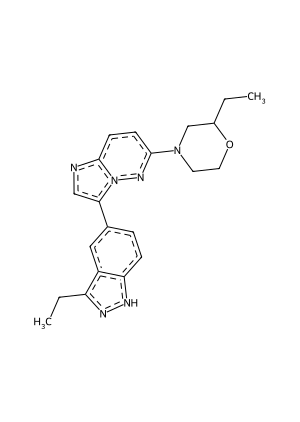 CCc1n[nH]c2ccc(-c3cnc4ccc(N5CCOC(CC)C5)nn34)cc12